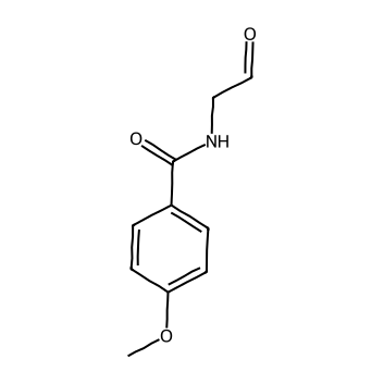 COc1ccc(C(=O)NCC=O)cc1